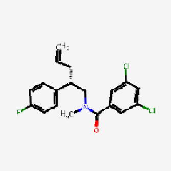 C=CC[C@H](CN(C)C(=O)c1cc(Cl)cc(Cl)c1)c1ccc(F)cc1